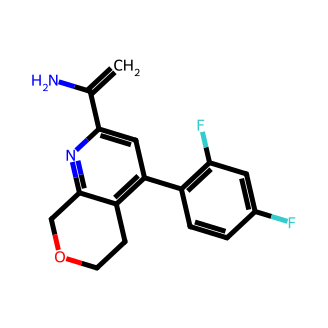 C=C(N)c1cc(-c2ccc(F)cc2F)c2c(n1)COCC2